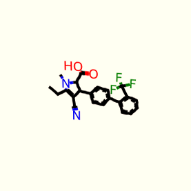 CCC1=C(C#N)C(c2ccc(-c3ccccc3C(F)(F)F)cc2)C(C(=O)O)N1C